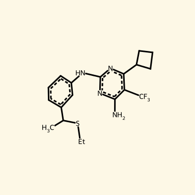 CCSC(C)c1cccc(Nc2nc(N)c(C(F)(F)F)c(C3CCC3)n2)c1